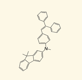 CN(c1ccc(C=C(c2ccccc2)c2ccccc2)cc1)c1ccc2c(c1)C(C)(C)c1ccccc1-2